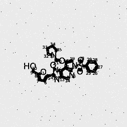 O=C(On1c(-c2ccc(CO)o2)nc2cnc3c(ccn3S(=O)(=O)c3ccccc3)c21)N1CCCC1